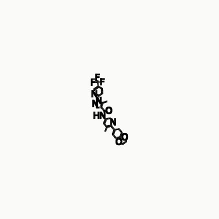 Cc1cc(NC(=O)c2cnn(-c3ccc(C(F)(F)F)cn3)c2C)cnc1C1=CCC2(CC1)OCCO2